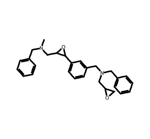 CN(Cc1ccccc1)CC1OC1c1cccc(CN(Cc2ccccc2)CC2CO2)c1